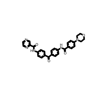 O=C(Nc1ccc(C(=O)c2ccc(NC(=O)c3cnccn3)cc2)cc1)c1ccc(N2CCOCC2)cc1